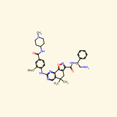 COc1cc(C(=O)NC2CCN(C)CC2)ccc1Nc1ncc2c(n1)-c1onc(C(=O)N[C@H](CN)c3ccccc3)c1CC2(C)C